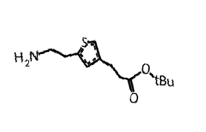 CC(C)(C)OC(=O)CCc1csc(CCN)c1